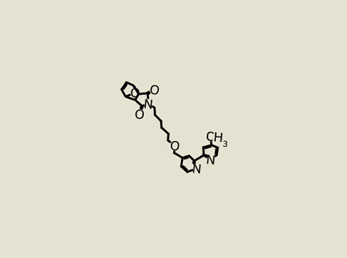 Cc1ccnc(-c2cc(COCCCCCCN3C(=O)C4C5C=CC(O5)C4C3=O)ccn2)c1